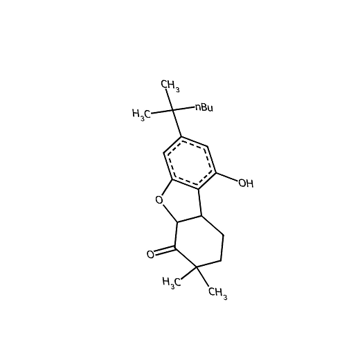 CCCCC(C)(C)c1cc(O)c2c(c1)OC1C(=O)C(C)(C)CCC21